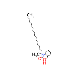 CCCCCCCCCCCCCCCCCC(C)N(C=O)C1CC=CCC1CO